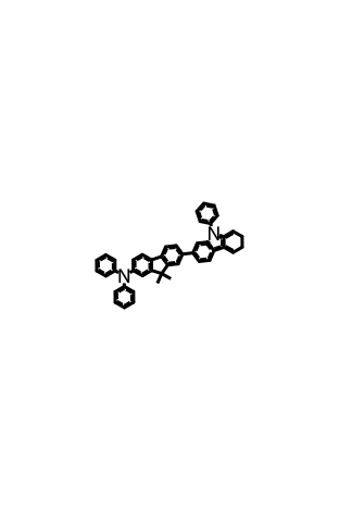 CC1(C)c2cc(-c3ccc4c5c(n(-c6ccccc6)c4c3)=CCCC=5)ccc2-c2ccc(N(c3ccccc3)c3ccccc3)cc21